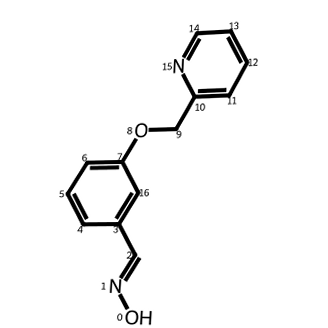 ON=Cc1cccc(OCc2ccccn2)c1